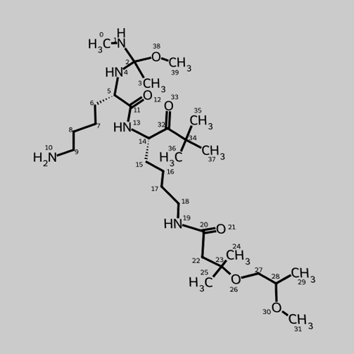 CNC(C)(N[C@@H](CCCCN)C(=O)N[C@@H](CCCCNC(=O)CC(C)(C)OCC(C)OC)C(=O)C(C)(C)C)OC